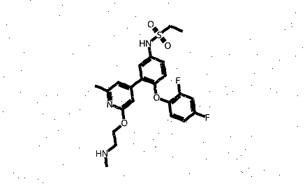 CCS(=O)(=O)Nc1ccc(Oc2ccc(F)cc2F)c(-c2cc(C)nc(OCCNC)c2)c1